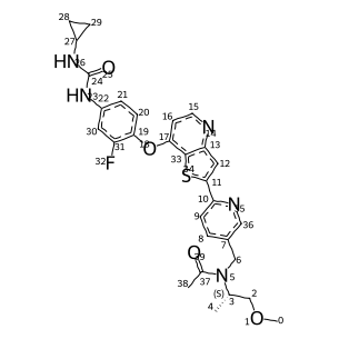 COC[C@H](C)N(Cc1ccc(-c2cc3nccc(Oc4ccc(NC(=O)NC5CC5)cc4F)c3s2)nc1)C(C)=O